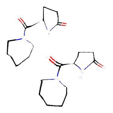 O=C1CC[C@H](C(=O)N2CCCCC2)N1.O=C1CC[C@H](C(=O)N2CCCCC2)N1